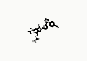 CNC(=O)OCc1nc(N(C)C(C)C)cc2c1CN(c1cccc(-c3nncn3-c3ccc(C#N)cc3)n1)C2=O